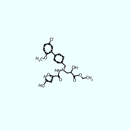 CCOC(=O)C(O)CN(Cc1ccc(-c2cc(Cl)ccc2OC)cc1)NC(=O)c1cc(O)no1